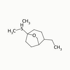 CCC1CCC2([SH](C)C)CCC1CO2